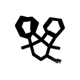 CC(C)C1CCC(C)(c2ccccc2)C(c2ccccc2)(c2ccccc2)C1(C)C